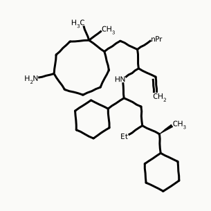 C=CC(NC(CC(CC)[C@@H](C)C1CCCCC1)C1CCCCC1)C(CCC)CC1CCCCC(N)CCC1(C)C